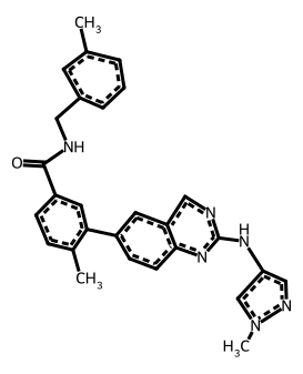 Cc1cccc(CNC(=O)c2ccc(C)c(-c3ccc4nc(Nc5cnn(C)c5)ncc4c3)c2)c1